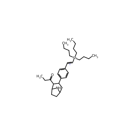 CCC[CH2][Sn](/[CH]=C/c1ccc(C2CC3CCC(N3)C2C(=O)CC)cc1)([CH2]CCC)[CH2]CCC